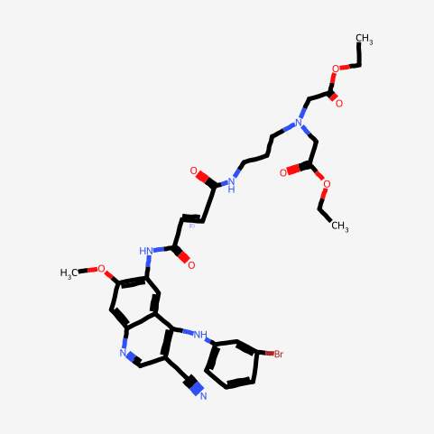 CCOC(=O)CN(CCCNC(=O)/C=C/C(=O)Nc1cc2c(Nc3cccc(Br)c3)c(C#N)cnc2cc1OC)CC(=O)OCC